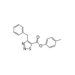 Cc1ccc(OC(=O)c2snnc2Cc2ccccc2)cc1